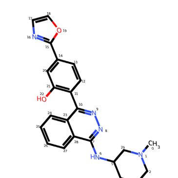 CN1CCCC(Nc2nnc(-c3ccc(-c4ncco4)cc3O)c3ccccc23)C1